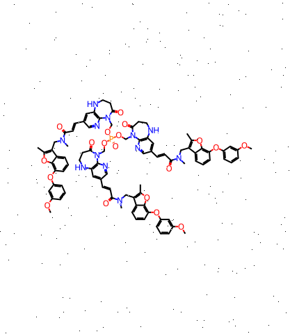 COc1cccc(Oc2cccc3c(CN(C)C(=O)/C=C/c4cnc5c(c4)NCCC(=O)N5COP(=O)(OCN4C(=O)CCNc5cc(/C=C/C(=O)N(C)Cc6c(C)oc7c(Oc8cccc(OC)c8)cccc67)cnc54)OCN4C(=O)CCNc5cc(/C=C/C(=O)N(C)Cc6c(C)oc7c(Oc8cccc(OC)c8)cccc67)cnc54)c(C)oc23)c1